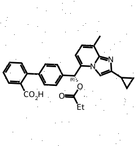 CCC(=O)O[C@H](c1ccc(-c2ccccc2C(=O)O)cc1)c1ccc(C)c2nc(C3CC3)cn12